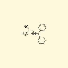 CC(C#N)CNC(C1=CC=CCC1)c1ccccc1